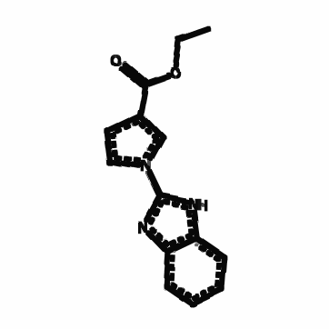 CCOC(=O)c1ccn(-c2nc3ccccc3[nH]2)c1